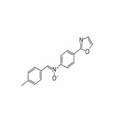 Cc1ccc(C=[N+]([O-])c2ccc(-c3ncco3)cc2)cc1